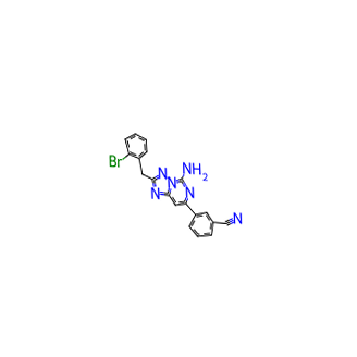 N#Cc1cccc(-c2cc3nc(Cc4ccccc4Br)nn3c(N)n2)c1